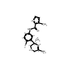 Cc1ccsc1C(=O)Nc1ccc(F)c([C@]2(C)COCC(N)=N2)c1